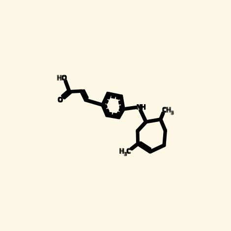 CC1=CCCC(C)C(Nc2ccc(/C=C/C(=O)O)cc2)C1